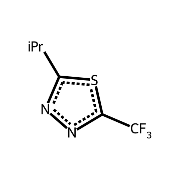 CC(C)c1nnc(C(F)(F)F)s1